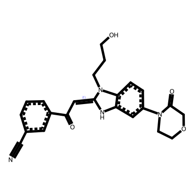 N#Cc1cccc(C(=O)/C=C2\Nc3cc(N4CCOCC4=O)ccc3N2CCCO)c1